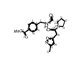 COC(=O)c1ccc(CNC(=O)[C@@H]2CCCN2C(=O)Cc2cc(C)no2)cc1